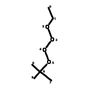 CCOOOOC(C)(C)C